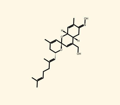 CC(C)=CCC/C(C)=C/[C@@H]1CC(C)=C[C@]2(C=C(CO)[C@H]3C/C(=N/O)C(C)=C[C@H]3O2)O1